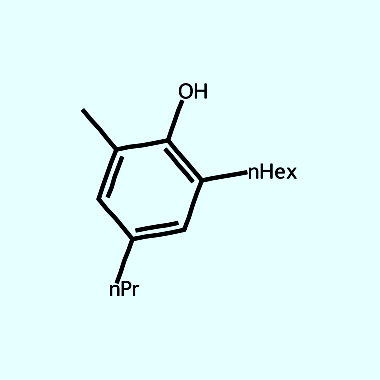 CCCCCCc1cc(CCC)cc(C)c1O